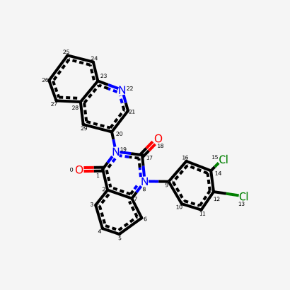 O=c1c2ccccc2n(-c2ccc(Cl)c(Cl)c2)c(=O)n1-c1cnc2ccccc2c1